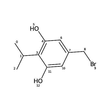 CC(C)c1c(O)cc(CBr)cc1O